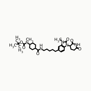 CN(C(=O)OC(C)(C)C)C1CCC(C(=O)NCCCCCc2ccc3c(c2)n(C)c(=O)n3C2CCC(=O)NC2=O)CC1